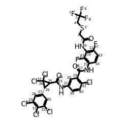 O=C(CSCC(F)(F)F)Nc1c(F)ccc(NC(=O)c2cc(NC(=O)C3[C@H](c4cc(Cl)c(Cl)c(Cl)c4)C3(Cl)Cl)ccc2Cl)c1F